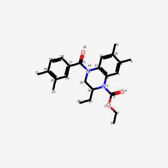 CCOC(=O)N1c2cc(C)c(C)cc2N(C(=O)c2ccc(C)c(C)c2)CC1CC